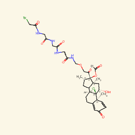 CCC(=O)O[C@]1(C(=O)COCNC(=O)CNC(=O)CNC(=O)CNC(=O)CBr)[C@@H](C)CC2[C@@H]3CCC4=CC(=O)C=C[C@]4(C)[C@@]3(Cl)[C@@H](O)C[C@@]21C